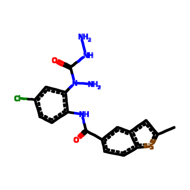 Cc1cc2cc(C(=O)Nc3ccc(Cl)cc3N(N)C(=O)NN)ccc2s1